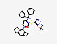 C[C@H]1Cc2cc3c(c(NC(=O)NS(=O)(=NC(c4ccccc4)(c4ccccc4)c4ccccc4)c4cnn5c4OC(C)(C)C5)c21)CCC3